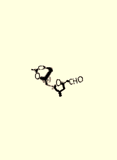 C=C1C[C@H](C[C@@H]2CCO[C@H](C)O2)O[C@@H](CC=O)C1